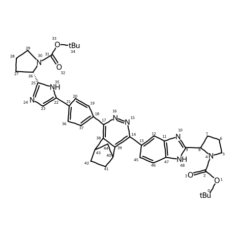 CC(C)(C)OC(=O)N1CCCC1c1nc2cc(-c3nnc(-c4ccc(-c5cnc([C@@H]6CCCN6C(=O)OC(C)(C)C)[nH]5)cc4)c4c3C3CCC4C3)ccc2[nH]1